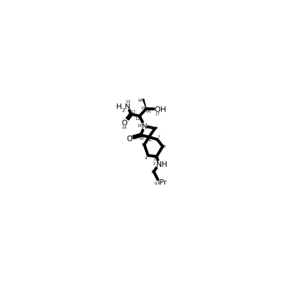 CC(C)CNC1CCC2(CC1)CN(C(C(N)=O)[C@@H](C)O)C2=O